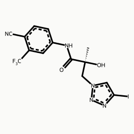 C[C@](O)(Cn1cc(I)nn1)C(=O)Nc1ccc(C#N)c(C(F)(F)F)c1